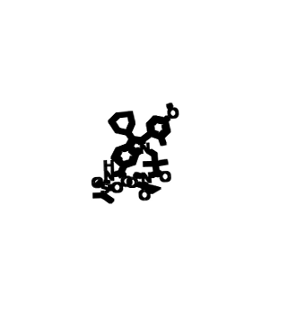 COc1ccc(-c2c(C3CCCCC3)c3ccc(C(=O)NS(=O)(=O)C(C)C)cc3n2CC(C)(C)C(=O)N2COC23CO3)c(C)c1